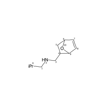 CC(C)CNCC1CC2C=CC1O2